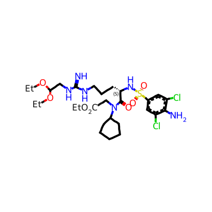 CCOC(=O)CN(C(=O)[C@H](CCCNC(=N)NCC(OCC)OCC)NS(=O)(=O)c1cc(Cl)c(N)c(Cl)c1)C1CCCCC1